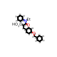 CCN(C(=O)C(Cc1ccc(OCc2ccccc2)cc1)C(=O)O)c1ccccc1